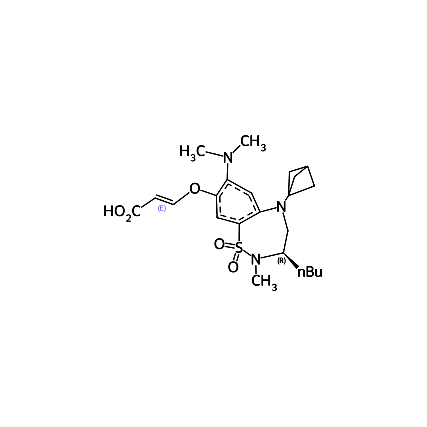 CCCC[C@@H]1CN(C23CC(C2)C3)c2cc(N(C)C)c(O/C=C/C(=O)O)cc2S(=O)(=O)N1C